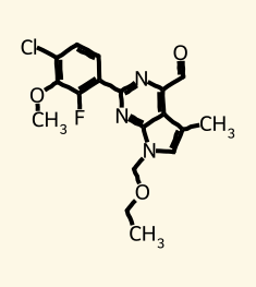 CCOCn1cc(C)c2c(C=O)nc(-c3ccc(Cl)c(OC)c3F)nc21